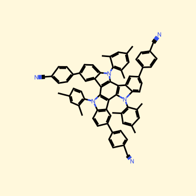 Cc1ccc(-n2c3ccc(-c4ccc(C#N)cc4)cc3c3c2c2c4cc(-c5ccc(C#N)cc5)ccc4n(-c4c(C)cc(C)cc4C)c2c2c4cc(-c5ccc(C#N)cc5)ccc4n(-c4c(C)cc(C)cc4C)c32)c(C)c1